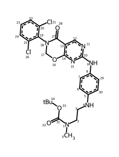 CN(CCNc1ccc(Nc2ncc3c(n2)OCN(c2c(Cl)cccc2Cl)C3=O)cc1)C(=O)OC(C)(C)C